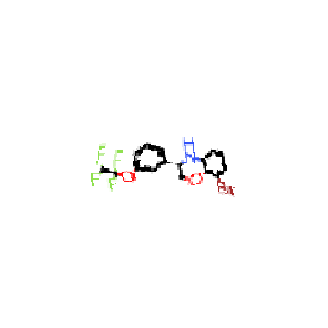 FC(F)C(F)(F)Oc1cccc([C@H]2COc3c(Br)cccc3N2)c1